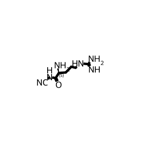 N#CNC(=O)[C@@H](N)CCCNC(=N)N